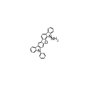 Nn1c2ccccc2c2ccc3c4cc5c6ccccc6n(-c6ccccc6)c5cc4oc3c21